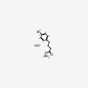 Cl.NOC(=O)CCCc1ccc(Br)cc1